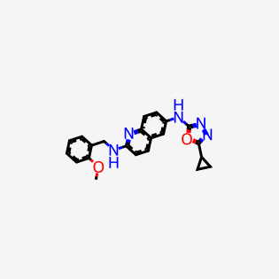 COc1ccccc1CNc1ccc2cc(Nc3nnc(C4CC4)o3)ccc2n1